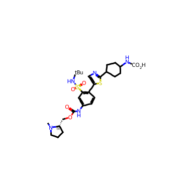 CN1CCC[C@H]1COC(=O)Nc1ccc(-c2cnc(C3CCC(NC(=O)O)CC3)s2)c(S(=O)(=O)NC(C)(C)C)c1